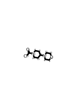 O=C(Cl)N1CCC(N2CCOCC2)CC1